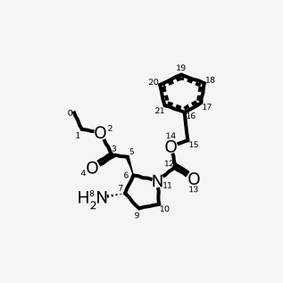 CCOC(=O)C[C@@H]1[C@@H](N)CCN1C(=O)OCc1ccccc1